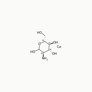 N[C@H]1C(O)O[C@H](CO)[C@@H](O)[C@@H]1O.[Ca]